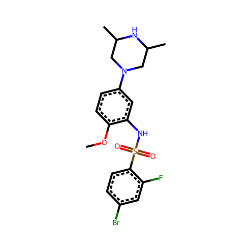 COc1ccc(N2CC(C)NC(C)C2)cc1NS(=O)(=O)c1ccc(Br)cc1F